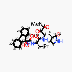 CNC(=O)C(=O)[C@H](C[C@@H]1CCNC1=O)NC(=O)[C@@H](CC(C)C)NC(=O)C1(O)c2ccccc2-c2ccccc21